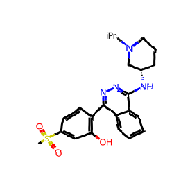 CC(C)N1CCC[C@H](Nc2nnc(-c3ccc(S(C)(=O)=O)cc3O)c3ccccc23)C1